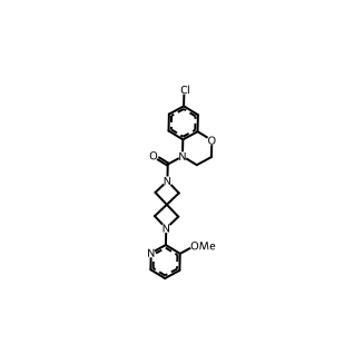 COc1cccnc1N1CC2(CN(C(=O)N3CCOc4cc(Cl)ccc43)C2)C1